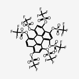 O=S(=O)(Oc1cc(OS(=O)(=O)C(F)(F)F)c2c3c(OS(=O)(=O)C(F)(F)F)cc(OS(=O)(=O)C(F)(F)F)c4c(OS(=O)(=O)C(F)(F)F)cc(OS(=O)(=O)C(F)(F)F)c(c5c(OS(=O)(=O)C(F)(F)F)ccc1c52)c43)C(F)(F)F